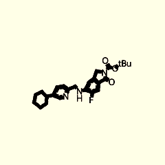 CC(C)(C)OC(=O)N1Cc2cc(NCc3ccc(C4CCCCC4)cn3)c(F)cc2C1=O